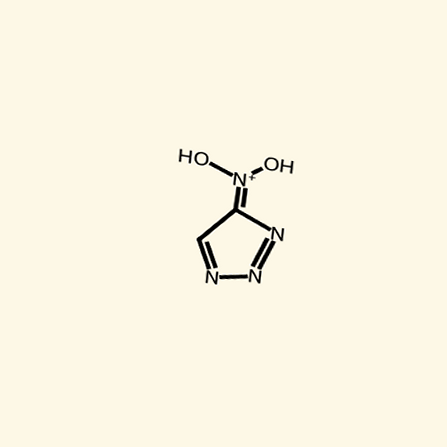 O[N+](O)=C1C=NN=N1